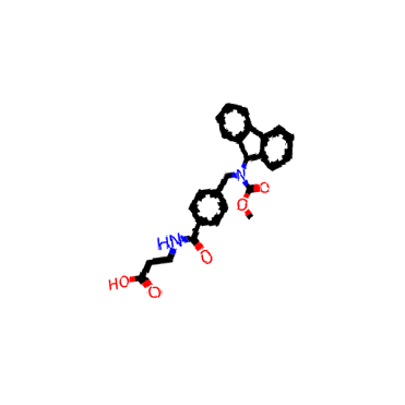 COC(=O)N(Cc1ccc(C(=O)NCCC(=O)O)cc1)C1c2ccccc2-c2ccccc21